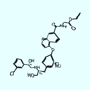 CCOC(=O)CNC(=O)c1ccc2c(Oc3ccc(C[C@@H](CO)NC[C@@H](O)c4cccc(Cl)c4)cc3)ccnc2c1.Cl.Cl